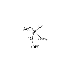 CCCOP(N)(=O)OC(C)=O